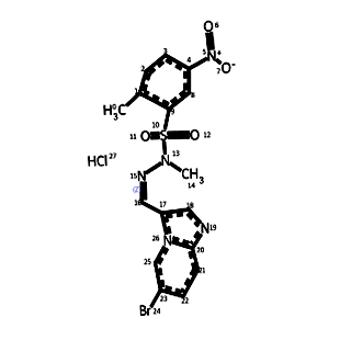 Cc1ccc([N+](=O)[O-])cc1S(=O)(=O)N(C)/N=C\c1cnc2ccc(Br)cn12.Cl